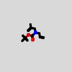 C=CCN(CC(=C)C)C(=O)OC(C)(C)C